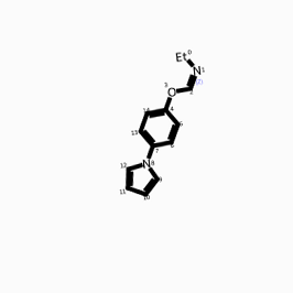 CC/N=C\Oc1ccc(-n2cccc2)cc1